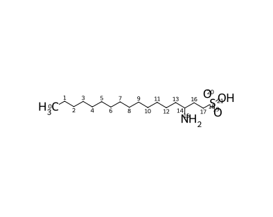 CCCCCCCCCCCCCCC(N)CCS(=O)(=O)O